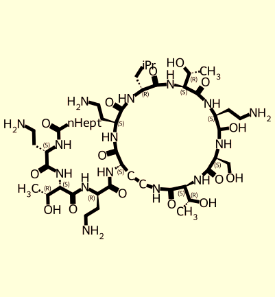 CCCCCCCC(=O)N[C@@H](CCN)C(=O)N[C@H](C(=O)N[C@H](CCN)C(=O)N[C@H]1CCNC(=O)[C@H]([C@@H](C)O)NC(=O)[C@H](CO)NC(O)[C@H](CCN)NC(=O)[C@H]([C@@H](C)O)NC(=O)[C@@H](CC(C)C)NC(=O)[C@H](CCN)NC1=O)[C@@H](C)O